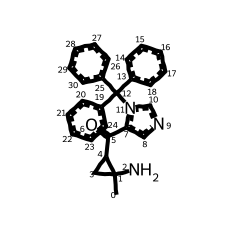 CC1(N)CC1C(=O)c1cncn1C(c1ccccc1)(c1ccccc1)c1ccccc1